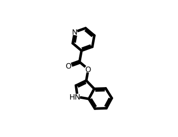 O=C(Oc1c[nH]c2ccccc12)c1cccnc1